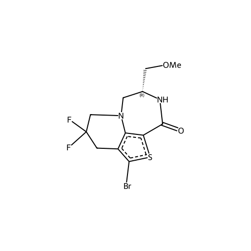 COC[C@H]1CN2CC(F)(F)Cc3c(Br)sc(c32)C(=O)N1